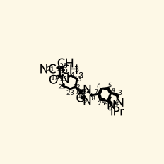 CC(C)n1ncc2ccc(-c3noc(C4CCN(C(=O)C(C)(C)C#N)CC4)n3)cc21